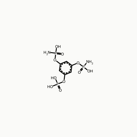 NP(=O)(O)Oc1cc(OP(N)(=O)O)cc(OP(=O)(O)O)c1